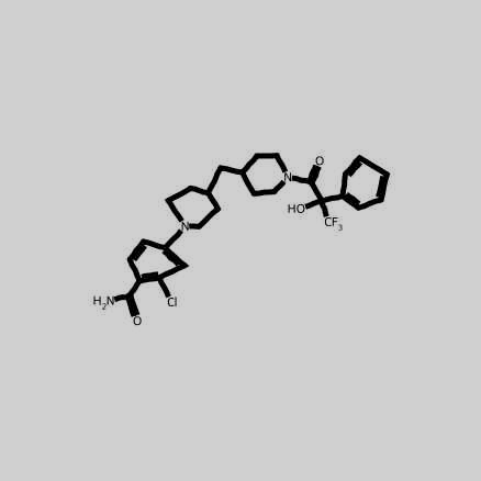 NC(=O)c1ccc(N2CCC(CC3CCN(C(=O)C(O)(c4ccccc4)C(F)(F)F)CC3)CC2)cc1Cl